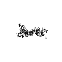 CC(OC(=O)N[C@@H](Cc1cccc(S(=O)(=O)N2CC(Oc3cccc(F)c3)(c3ccccc3F)C2)c1)C(=O)O)OC(=O)C(C)C